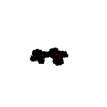 CC(/N=C(\N=C(/N)c1ccc2c(ccc3ccccc32)c1)c1ccccc1)c1cccc2oc3cccc(-c4cccc5sc6cc(-c7ccc8cc9oc%10c(-c%11ccc%12oc%13ccccc%13c%12c%11-c%11nc(-c%12ccccc%12)nc(-c%12ccccc%12)n%11)cccc%10c9cc8c7)ccc6c45)c3c12